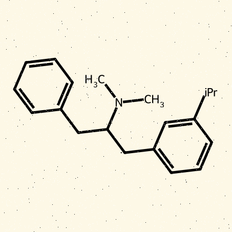 CC(C)c1cccc([CH]C(Cc2ccccc2)N(C)C)c1